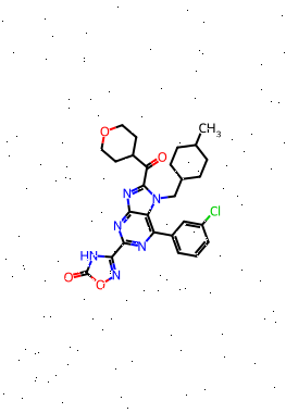 CC1CCC(Cn2c(C(=O)C3CCOCC3)nc3nc(-c4noc(=O)[nH]4)nc(-c4cccc(Cl)c4)c32)CC1